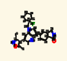 Cc1noc(C)c1-c1cnc2c(-c3ccc4c(c3)C=NC4=O)cn(CC3(F)CCCCC3)c2c1